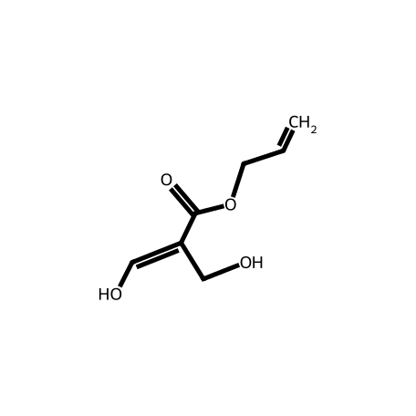 C=CCOC(=O)/C(=C/O)CO